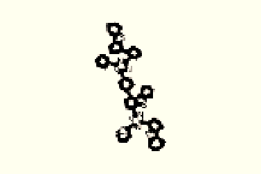 c1ccc(-c2nc(-c3ccc(-c4ccc(-c5nc(-c6ccccc6)nc(-c6cccc7c6sc6ccccc67)n5)c5sc6ccccc6c45)cc3)nc(-c3ccccc3-c3cccc4c3sc3ccccc34)n2)cc1